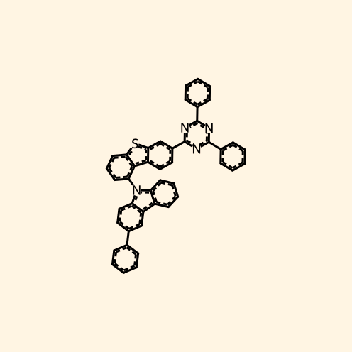 c1ccc(-c2ccc3c(c2)c2ccccc2n3-c2cccc3sc4cc(-c5nc(-c6ccccc6)nc(-c6ccccc6)n5)ccc4c23)cc1